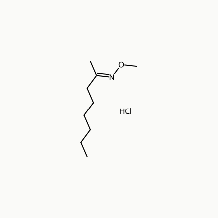 CCCCCCC(C)=NOC.Cl